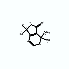 COC1(O)CC=CC2=C1C(=O)OC2(C)O